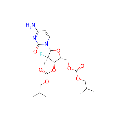 CC(C)COC(=O)OC[C@H]1O[C@@H](n2ccc(N)nc2=O)[C@](C)(F)[C@@H]1OC(=O)OCC(C)C